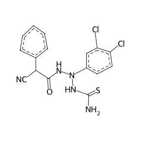 N#CC(C(=O)NN(NC(N)=S)c1ccc(Cl)c(Cl)c1)c1ccccc1